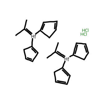 C[C](C)=[Hf]([C]1=CC=CC1)[C]1=CC=CC1.C[C](C)=[Hf]([C]1=CC=CC1)[C]1=CC=CC1.Cl.Cl